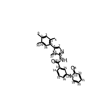 Cc1cc(C)c(-c2cnc(NC(=O)c3cccc(-n4ccccc4=O)c3)n2C)cc1C